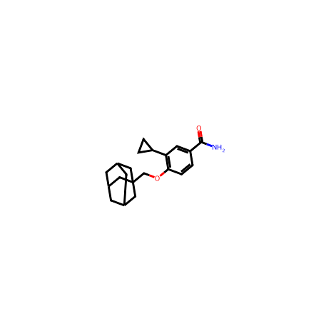 NC(=O)c1ccc(OCC23CC4CC(CC(C4)C2)C3)c(C2CC2)c1